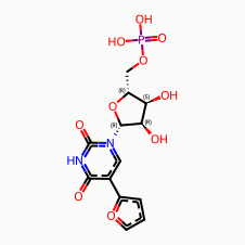 O=c1[nH]c(=O)n([C@@H]2O[C@H](COP(=O)(O)O)[C@@H](O)[C@H]2O)cc1-c1ccco1